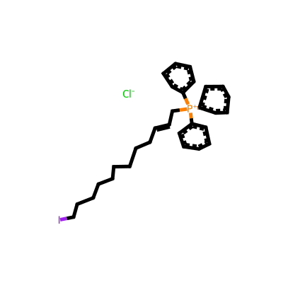 ICCCCCCCCCC=CC[P+](c1ccccc1)(c1ccccc1)c1ccccc1.[Cl-]